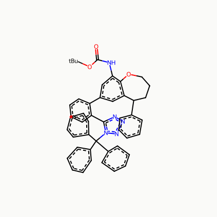 CC(C)(C)OC(=O)Nc1cc(-c2ccccc2-c2nnnn2C(c2ccccc2)(c2ccccc2)c2ccccc2)cc2c1OCCCC2c1ccccc1